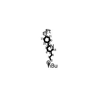 CCCCOCCCc1ccc(-c2ccc(OCC)cc2)nc1